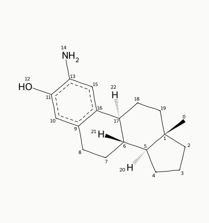 C[C@@]12CCC[C@H]1[C@@H]1CCc3cc(O)c(N)cc3[C@H]1CC2